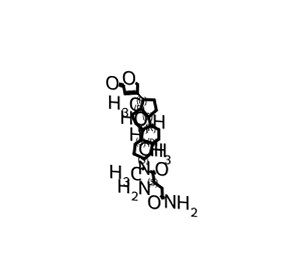 CN(C(=O)[C@@H](N)CC(N)=O)[C@H]1CC[C@@]2(C)[C@H](CC[C@@H]3[C@@H]2CC[C@]2(C)[C@@H](C4=CC(=O)OC4)CC[C@]32O)C1